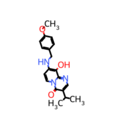 COc1ccc(CNc2ccn3c(=O)c(C(C)C)cnc3c2O)cc1